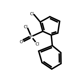 O=P(Cl)(Cl)c1c(Cl)cccc1-c1ccccc1